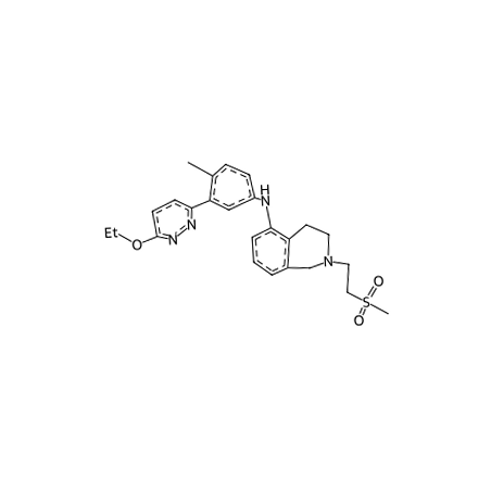 CCOc1ccc(-c2cc(Nc3cccc4c3CCN(CCS(C)(=O)=O)C4)ccc2C)nn1